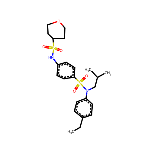 CCc1ccc(N(CC(C)C)S(=O)(=O)c2ccc(NS(=O)(=O)C3CCOCC3)cc2)cc1